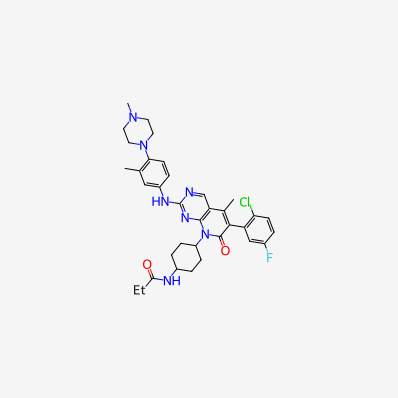 CCC(=O)NC1CCC(n2c(=O)c(-c3cc(F)ccc3Cl)c(C)c3cnc(Nc4ccc(N5CCN(C)CC5)c(C)c4)nc32)CC1